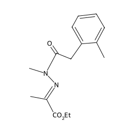 CCOC(=O)C(C)=NN(C)C(=O)Cc1ccccc1C